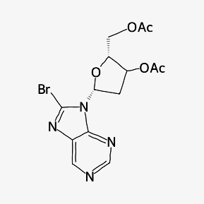 CC(=O)OC[C@H]1O[C@@H](n2c(Br)nc3cncnc32)CC1OC(C)=O